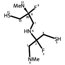 CNCC(F)(CS)NC[C@@](F)(CS)NC